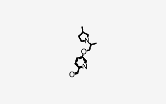 CC1CCN(C(C)COc2ccc(C=O)nc2)C1